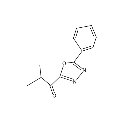 CC(C)C(=O)c1nnc(-c2ccccc2)o1